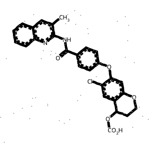 Cc1cc2ccccc2nc1NC(=O)c1ccc(Oc2cc3c(cc2Cl)C(OC(=O)O)CCO3)cc1